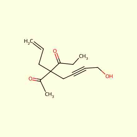 C=CCC(CC#CCO)(C(C)=O)C(=O)CC